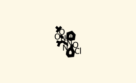 CC(C)C(NC(=O)OC(C)(C)C)c1nc2cccc(Cl)c2c(=O)n1-c1ccccc1